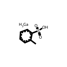 Cc1ccccc1S(=O)(=O)O.[GaH3]